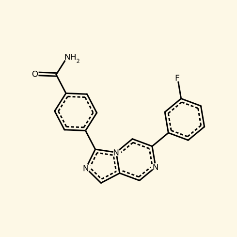 NC(=O)c1ccc(-c2ncc3cnc(-c4cccc(F)c4)cn23)cc1